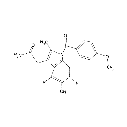 Cc1c(CC(N)=O)c2c(F)c(O)c(F)cc2n1C(=O)c1ccc(OC(F)(F)F)cc1